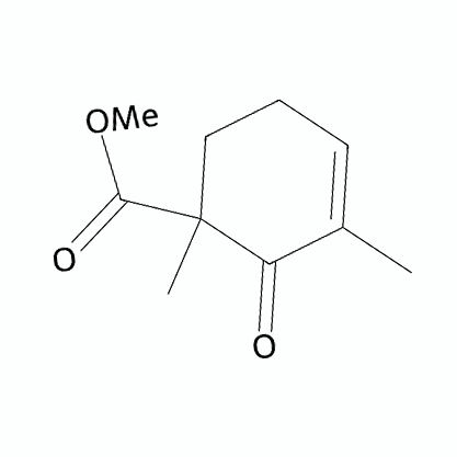 COC(=O)C1(C)CCC=C(C)C1=O